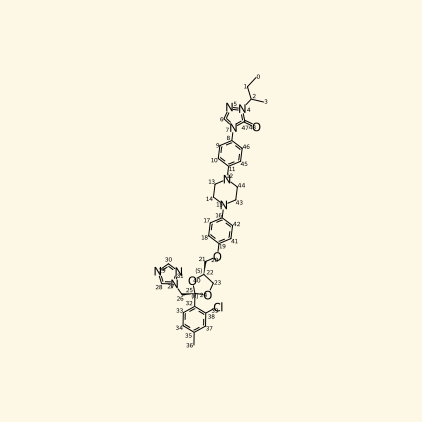 CCC(C)n1ncn(-c2ccc(N3CCN(c4ccc(OC[C@H]5CO[C@](Cn6cncn6)(c6ccc(C)cc6Cl)O5)cc4)CC3)cc2)c1=O